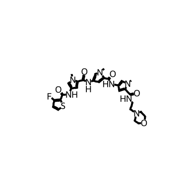 Cn1cc(NC(=O)c2cc(NC(=O)c3cc(NC(=O)c4sccc4F)cn3C)cn2C)cc1C(=O)NCCN1CCOCC1